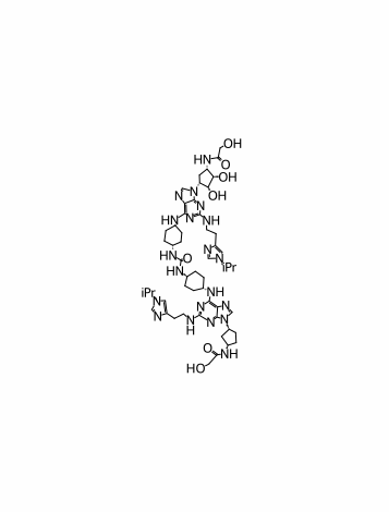 CC(C)n1cnc(CCNc2nc(N[C@H]3CC[C@H](NC(=O)N[C@H]4CC[C@H](Nc5nc(NCCc6cn(C(C)C)cn6)nc6c5ncn6[C@@H]5C[C@H](NC(=O)CO)[C@@H](O)[C@H]5O)CC4)CC3)c3ncn([C@H]4CC[C@@H](NC(=O)CO)C4)c3n2)c1